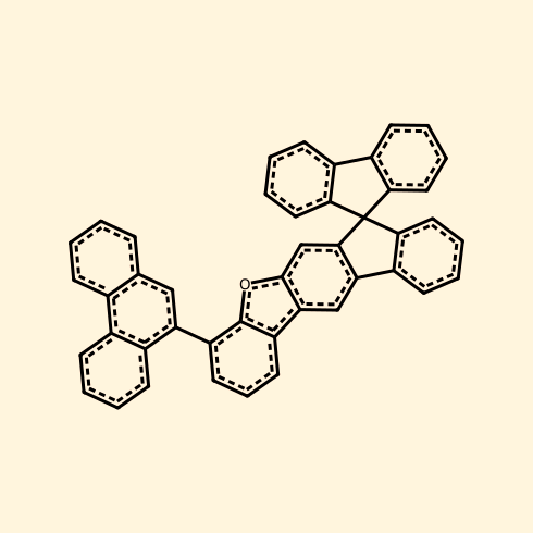 c1ccc2c(c1)-c1ccccc1C21c2ccccc2-c2cc3c(cc21)oc1c(-c2cc4ccccc4c4ccccc24)cccc13